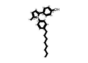 CCCCCCCCc1ccc(-n2c(C)ccc2-c2ccc(O)cc2)cc1